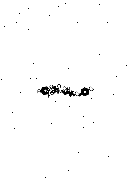 COc1ccc(COCC(C)(C)c2cc(NC(=O)C(C)(C)S(=O)(=O)c3ccc(F)cc3F)on2)cc1